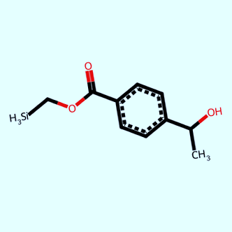 CC(O)c1ccc(C(=O)OC[SiH3])cc1